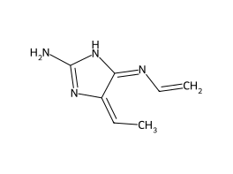 C=C/N=C1/NC(N)=N/C1=C/C